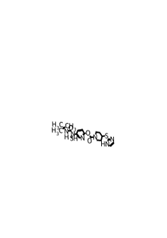 CC(C)(C)NC(=O)N(S)c1ccc(OC(=O)N2CCC(Sc3ncc[nH]3)CC2)nc1